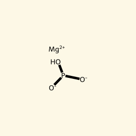 [Mg+2].[O-]P([O-])O